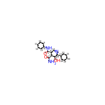 NC(=O)c1c(C(=O)Nc2ccccc2)cnc(-c2ccccc2)c1O